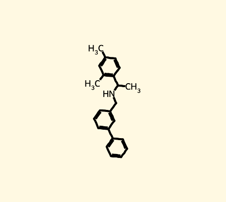 Cc1ccc(C(C)NCc2cccc(-c3ccccc3)c2)c(C)c1